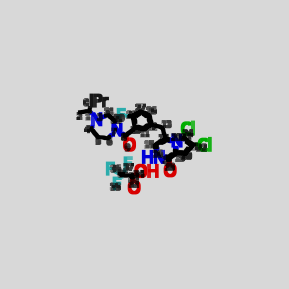 CC(C)C(C)N1CCCN(C(=O)c2cc(Cc3c[nH]c(=O)c4cc(Cl)c(Cl)n34)ccc2F)CC1.O=C(O)C(F)(F)F